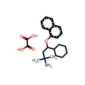 CC(C)(N)CC(Oc1cccc2ccccc12)C1CCCCC1.O=C(O)C(=O)O